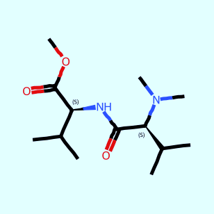 COC(=O)[C@@H](NC(=O)[C@H](C(C)C)N(C)C)C(C)C